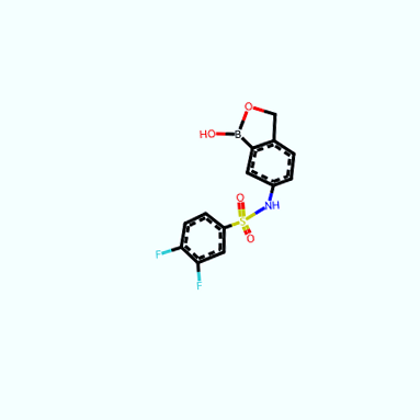 O=S(=O)(Nc1ccc2c(c1)B(O)OC2)c1ccc(F)c(F)c1